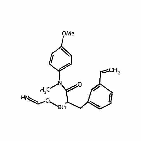 C=Cc1cccc(C[C@H](BOC=N)C(=O)N(C)c2ccc(OC)cc2)c1